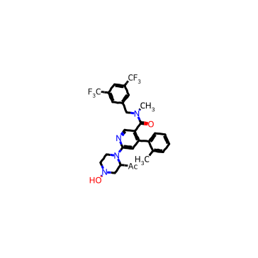 CC(=O)C1CN(O)CCN1c1cc(-c2ccccc2C)c(C(=O)N(C)Cc2cc(C(F)(F)F)cc(C(F)(F)F)c2)cn1